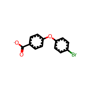 [O]C(=O)c1ccc(Oc2ccc(Br)cc2)cc1